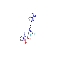 O=C(O)C(CCN(CCCCc1ccc2c(n1)NCCC2)CC(F)F)Nc1ccccn1